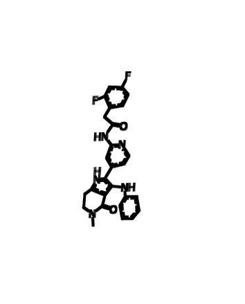 CN1CCc2[nH]c(-c3ccnc(NC(=O)Cc4ccc(F)cc4F)c3)c(Nc3ccccc3)c2C1=O